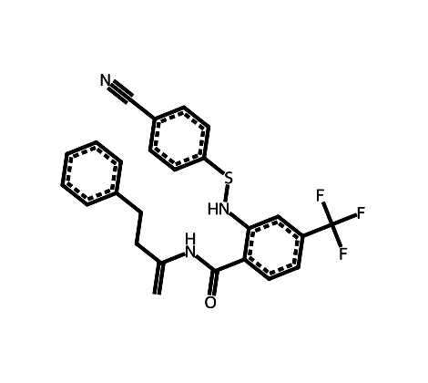 C=C(CCc1ccccc1)NC(=O)c1ccc(C(F)(F)F)cc1NSc1ccc(C#N)cc1